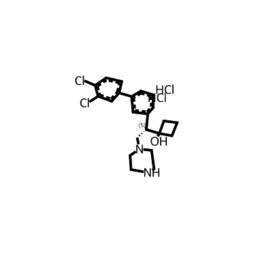 Cl.Cl.OC1([C@H](CN2CCNCC2)c2cccc(-c3ccc(Cl)c(Cl)c3)c2)CCC1